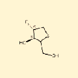 OCC1SC[C@@H](F)[C@@H]1O